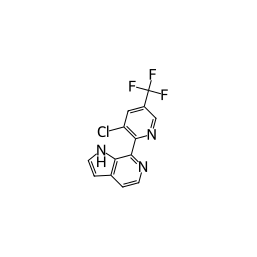 FC(F)(F)c1cnc(-c2nccc3cc[nH]c23)c(Cl)c1